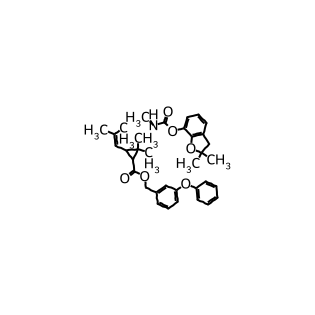 CC(C)=CC1C(C(=O)OCc2cccc(Oc3ccccc3)c2)C1(C)C.CNC(=O)Oc1cccc2c1OC(C)(C)C2